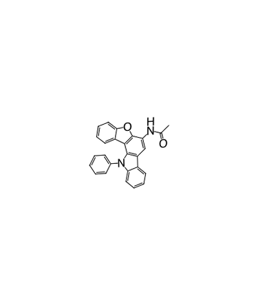 CC(=O)Nc1cc2c3ccccc3n(-c3ccccc3)c2c2c1oc1ccccc12